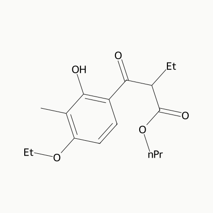 CCCOC(=O)C(CC)C(=O)c1ccc(OCC)c(C)c1O